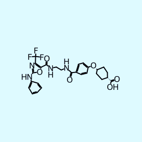 O=C(NCCNC(=O)c1oc(Nc2ccccc2)nc1C(F)(F)F)c1ccc(O[C@H]2CC[C@@H](C(=O)O)CC2)cc1